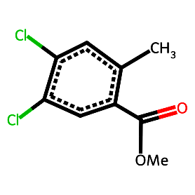 COC(=O)c1cc(Cl)c(Cl)cc1C